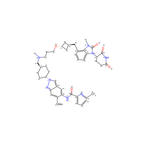 COc1cc2nn([C@H]3CC[C@H](CN(C)CCCO[C@H]4C[C@H](Cc5cccc6c5n(C)c(=O)n6C5CCC(=O)NC5=O)C4)CC3)cc2cc1NC(=O)c1cccc(C(F)(F)F)n1